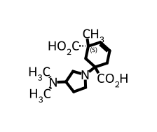 CN(C)C1CCN(C2(C(=O)O)CC=C[C@@](C)(C(=O)O)C2)C1